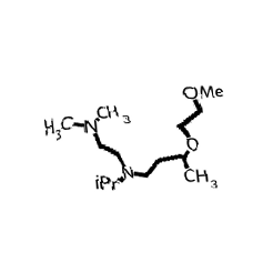 COCCOC(C)CCN(CCN(C)C)C(C)C